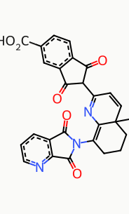 CC12C=CC(C3C(=O)c4ccc(C(=O)O)cc4C3=O)=NC1=C(N1C(=O)c3cccnc3C1=O)CCC2